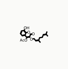 CC(=O)Oc1c(OCC=C(C)CCC=C(C)C)c(=O)oc2c(O)cccc12